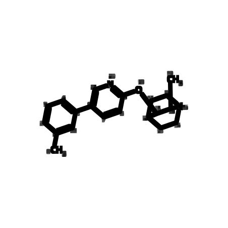 Cc1cccc(-c2ccc(OC3C4CCN(CC4)C3C)nc2)c1